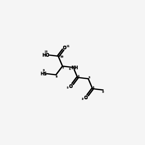 CC(=O)CC(=O)NC(CS)C(=O)O